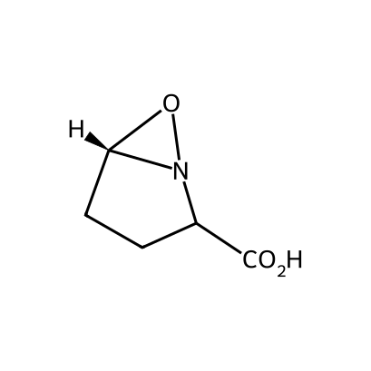 O=C(O)C1CC[C@@H]2ON12